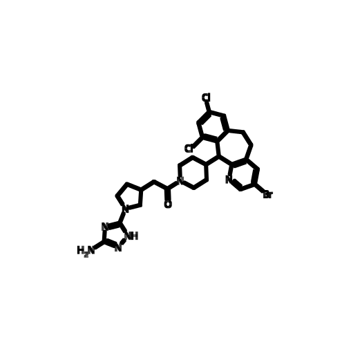 Nc1n[nH]c(N2CCC(CC(=O)N3CCC(C4c5ncc(Br)cc5CCc5cc(Cl)cc(Cl)c54)CC3)C2)n1